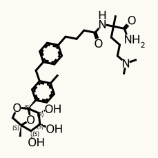 Cc1ccc([C@]23OC[C@](C)(O2)[C@@H](O)[C@H](O)[C@H]3O)cc1Cc1ccc(CCCC(=O)NC(C)(CCCN(C)C)C(N)=O)cc1